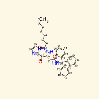 CCCCCCCC(=O)N[C@H](CC(=O)NC(c1ccccc1)(c1ccccc1)c1ccccc1)C(=O)c1ncc[nH]1